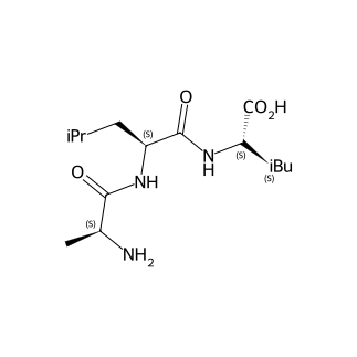 CC[C@H](C)[C@H](NC(=O)[C@H](CC(C)C)NC(=O)[C@H](C)N)C(=O)O